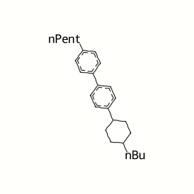 CCCCCc1ccc(-c2ccc(C3CCC(CCCC)CC3)cc2)cc1